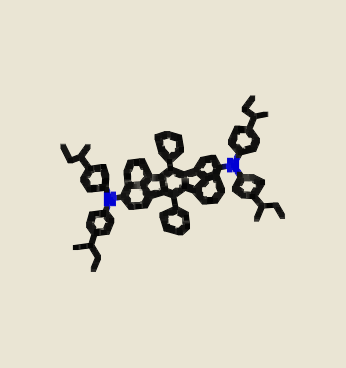 CCC(C)c1ccc(N(c2ccc(C(C)CC)cc2)c2ccc3c4c(-c5ccccc5)c5c6cccc7c(N(c8ccc(C(C)CC)cc8)c8ccc(C(C)CC)cc8)ccc(c5c(-c5ccccc5)c4c4cccc2c43)c76)cc1